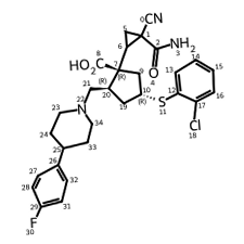 N#CC1(C(N)=O)CC1[C@]1(C(=O)O)C[C@H](Sc2ccccc2Cl)C[C@H]1CN1CCC(c2ccc(F)cc2)CC1